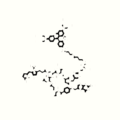 CCN(CC)c1ccc2c(-c3ccc(S(=O)(=O)NCCNC(=O)CCC[Si](C)(C)O[Si](C)(C)CSc4ncc(CN5C(=O)CC(SC[C@H](NC(=O)[C@H](CNC(=O)CCc6ccc(/C=C7/C=CC(C)=[N+]7C)n6B(F)F)NC(=O)[C@H](CC(=O)O)NC(=O)CC[C@H](NC(=O)c6ccc(NCc7cnc8nc(N)[nH]c(=O)c8n7)cc6)C(=O)O)C(=O)O)C5=O)cn4)cc3S(=O)(=O)O)c3ccc(=[N+](CC)CC)cc-3oc2c1